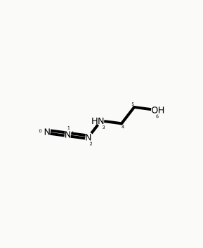 [N-]=[N+]=NNCCO